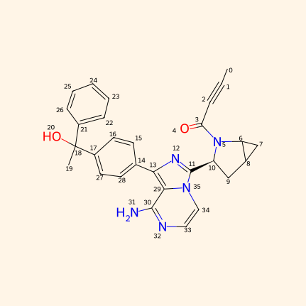 CC#CC(=O)N1C2CC2C[C@H]1c1nc(-c2ccc(C(C)(O)c3ccccc3)cc2)c2c(N)nccn12